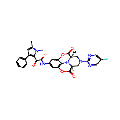 Cc1cc(-c2ccccc2)c(C(=O)C(=O)Nc2cc3c4c(c2)OC(=O)[C@@H]2CN(c5ncc(F)cn5)C[C@H](C(=O)O3)N42)n1C